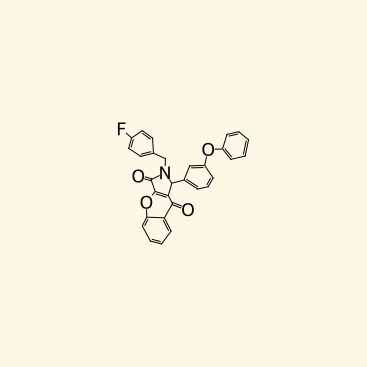 O=C1c2oc3ccccc3c(=O)c2C(c2cccc(Oc3ccccc3)c2)N1Cc1ccc(F)cc1